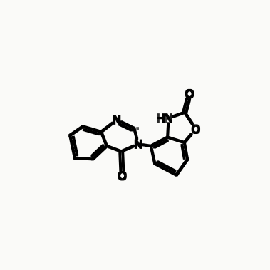 O=c1[nH]c2c(-n3[c]nc4ccccc4c3=O)cccc2o1